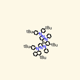 CC(C)(C)c1ccc(N(c2ccc(C(C)(C)C)cc2)c2ccc3c(n2)N(c2ccccc2)c2cc(C(C)(C)C)cc4c2B3c2ccc(N(c3ccc(C(C)(C)C)cc3)c3ccc(C(C)(C)C)c5ccccc35)nc2N4c2ccccc2)cc1